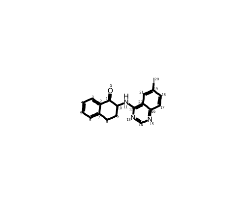 O=C1c2ccccc2CCC1Nc1ncnc2ccc(I)cc12